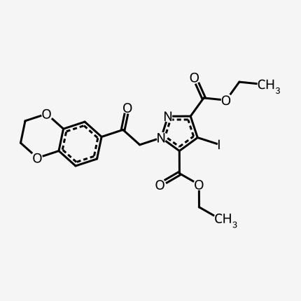 CCOC(=O)c1nn(CC(=O)c2ccc3c(c2)OCCO3)c(C(=O)OCC)c1I